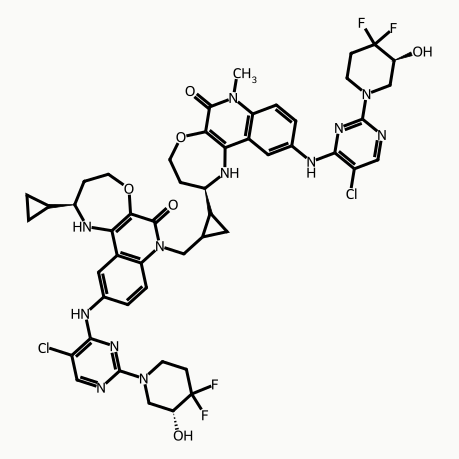 Cn1c(=O)c2c(c3cc(Nc4nc(N5CCC(F)(F)[C@@H](O)C5)ncc4Cl)ccc31)N[C@@H](C1CC1Cn1c(=O)c3c(c4cc(Nc5nc(N6CCC(F)(F)[C@H](O)C6)ncc5Cl)ccc41)N[C@@H](C1CC1)CCO3)CCO2